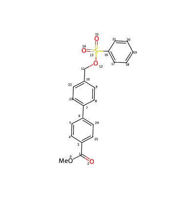 COC(=O)c1ccc(-c2ccc(COS(=O)(=O)c3ccccc3)cc2)cc1